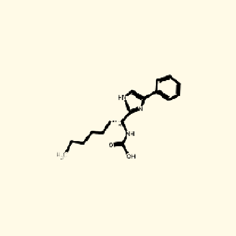 CCCCCC[C@@H](NC(=O)O)c1nc(-c2ccccc2)c[nH]1